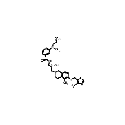 COCCN(C)c1cc(C(=O)NC[C@H](O)CN2CCc3c(ccc(OCc4ocnc4C)c3C)C2)ccn1